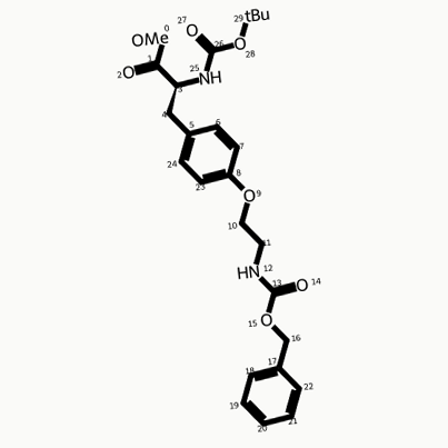 COC(=O)[C@H](Cc1ccc(OCCNC(=O)OCc2ccccc2)cc1)NC(=O)OC(C)(C)C